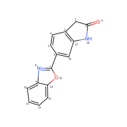 O=C1Cc2ccc(-c3nc4ccccc4o3)cc2N1